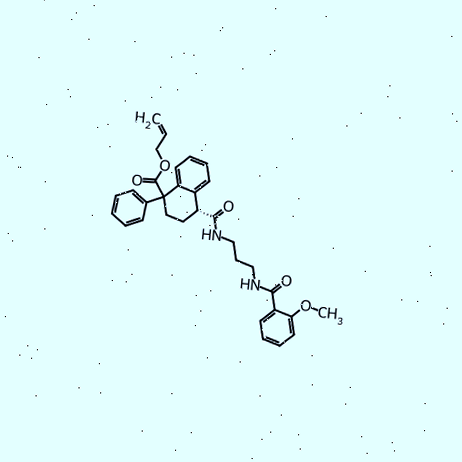 C=CCOC(=O)C1(c2ccccc2)CC[C@@H](C(=O)NCCCNC(=O)c2ccccc2OC)c2ccccc21